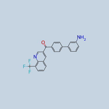 Nc1cccc(-c2ccc(C(=O)c3cnc4c(C(F)(F)F)cccc4c3)cc2)c1